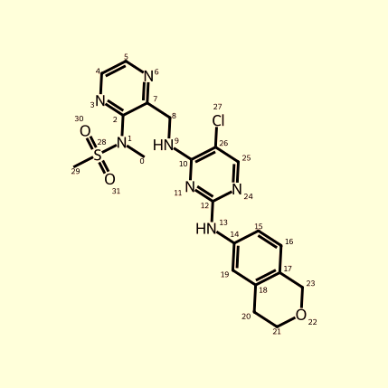 CN(c1nccnc1CNc1nc(Nc2ccc3c(c2)CCOC3)ncc1Cl)S(C)(=O)=O